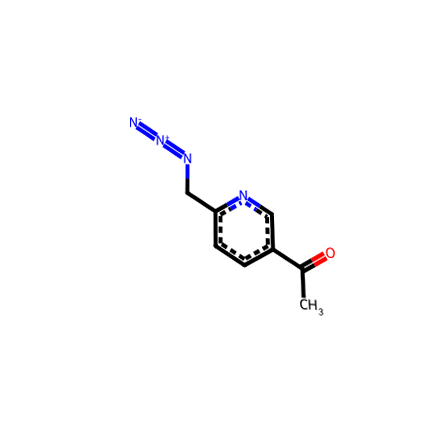 CC(=O)c1ccc(CN=[N+]=[N-])nc1